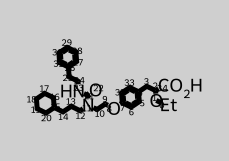 CCOC(Cc1ccc(OCCN(CCCC2CCCCC2)C(=O)NCCc2ccccc2)cc1)C(=O)O